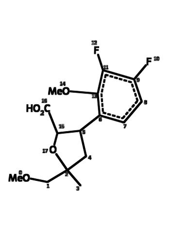 COCC1(C)CC(c2ccc(F)c(F)c2OC)C(C(=O)O)O1